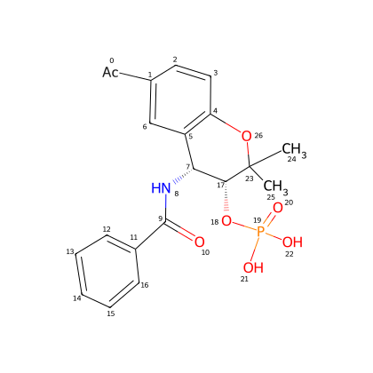 CC(=O)c1ccc2c(c1)[C@@H](NC(=O)c1ccccc1)[C@@H](OP(=O)(O)O)C(C)(C)O2